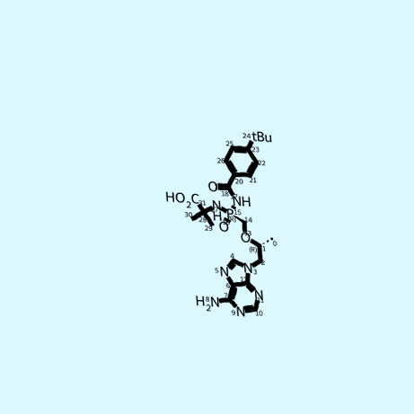 C[C@H](Cn1cnc2c(N)ncnc21)OC[P@](=O)(NC(=O)c1ccc(C(C)(C)C)cc1)NC(C)(C)C(=O)O